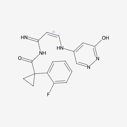 N=C(/C=C\Nc1cnnc(O)c1)NC(=O)C1(c2ccccc2F)CC1